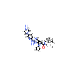 CCCCC(C)CN(C)C(=O)c1cc2cnc(Nc3ccc(N4CCNCC4)cn3)nc2n1C1CCCC1